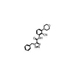 N#Cc1c(NC(=O)c2nnnn2Cc2ccccc2)cccc1N1CCOCC1